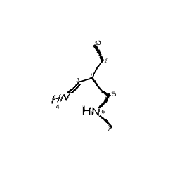 CCC(C=N)CNC